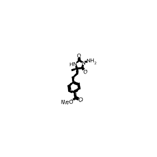 COC(=O)c1ccc(CCC2(C)NC(=O)N(N)C2=O)cc1